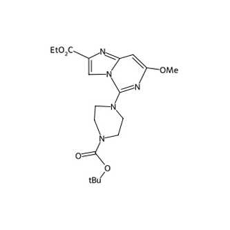 CCOC(=O)c1cn2c(N3CCN(C(=O)OC(C)(C)C)CC3)nc(OC)cc2n1